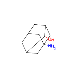 NC12CC3CC(C1)C(O)C(C3)C2